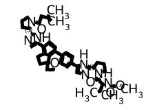 COC(=O)NC(C(=O)N1CCC[C@H]1c1ncc(-c2ccc(-c3ccc(-c4cnc([C@@H]5CCCN5C(=O)CC(C)C)[nH]4)c4c3C3(CCO3)CC4)cc2)[nH]1)C(C)C